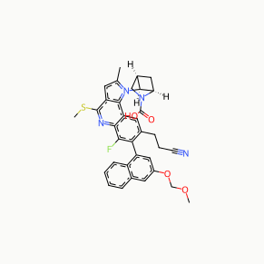 COCOc1cc(-c2c(CCC#N)cc3c(nc(SC)c4cc(C)n([C@H]5[C@@H]6C[C@H]5N(C(=O)O)C6)c43)c2F)c2ccccc2c1